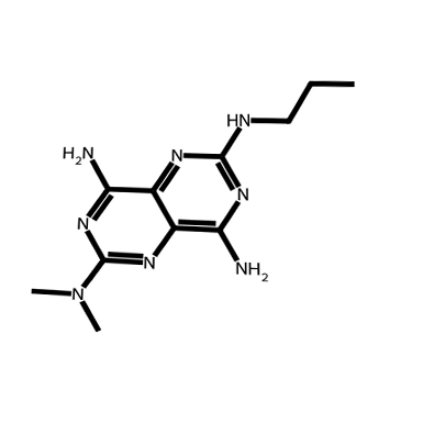 CCCNc1nc(N)c2nc(N(C)C)nc(N)c2n1